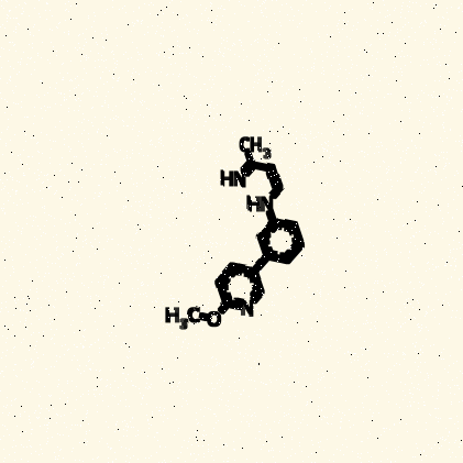 COc1ccc(-c2cccc(N/C=C\C(C)=N)c2)cn1